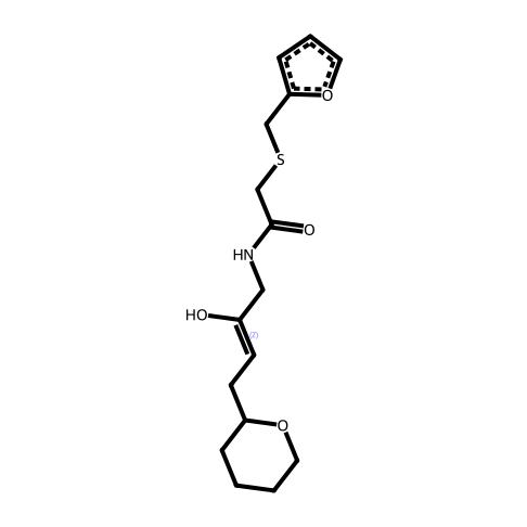 O=C(CSCc1ccco1)NC/C(O)=C/CC1CCCCO1